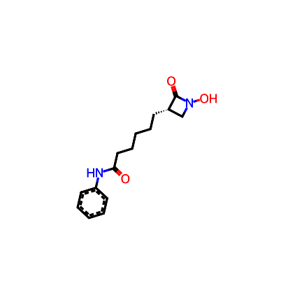 O=C(CCCCC[C@H]1CN(O)C1=O)Nc1ccccc1